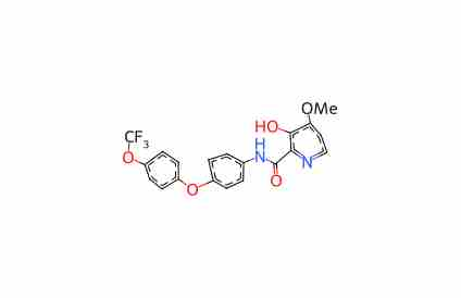 COc1ccnc(C(=O)Nc2ccc(Oc3ccc(OC(F)(F)F)cc3)cc2)c1O